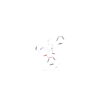 COc1cc(C(=O)N2[C@@H](c3nccs3)[C@@H](CO)C[C@@]2(Cc2ccccc2)C(=O)O)ccc1C(C)(C)C